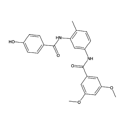 COc1cc(OC)cc(C(=O)Nc2ccc(C)c(NC(=O)c3ccc(O)cc3)c2)c1